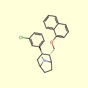 CN1C2CCC1[C@@H](COc1cccc3ccccc13)[C@H](c1cccc(Cl)c1)C2